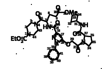 CCOC(=O)N1CCN(C(=O)C(CCC(=O)OC)NC(=O)c2cc(OCC(=O)N3CCCC3C(=O)NC3CCC3)n(-c3ccccc3)n2)CC1